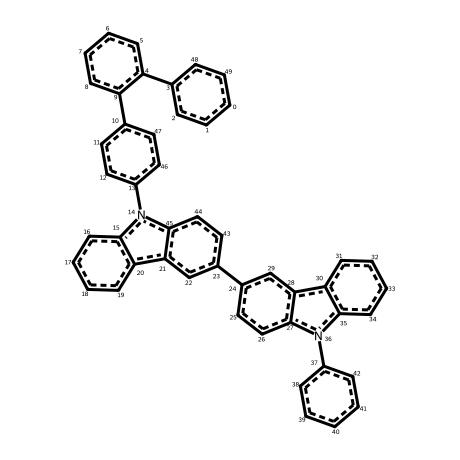 c1ccc(-c2ccccc2-c2ccc(-n3c4ccccc4c4cc(-c5ccc6c(c5)c5ccccc5n6-c5ccccc5)ccc43)cc2)cc1